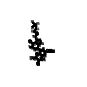 COc1cc2c(c(C3=NC(C)C(=O)c4c3cnn4COCC[Si](C)(C)C)c1)OC(C(C)C)C(=O)N2